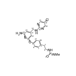 CNC(=O)NCCc1ccc(Oc2cc(CNc3ncc(Cl)cn3)cc(N)n2)cc1